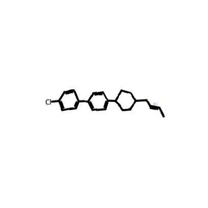 C/C=C/CC1CCC(c2ccc(-c3ccc(Cl)cc3)cc2)CC1